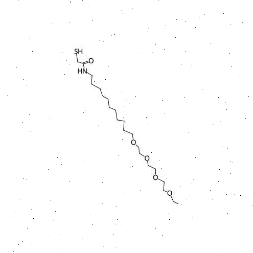 CCOCCOCCOCCOCCCCCCCCCCCNC(=O)CS